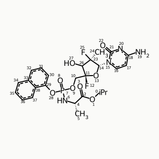 CC(C)OC(=O)[C@H](C)NP(=O)(OC[C@@]1(F)O[C@@H](n2ccc(N)nc2=O)[C@](C)(F)C1O)Oc1cccc2ccccc12